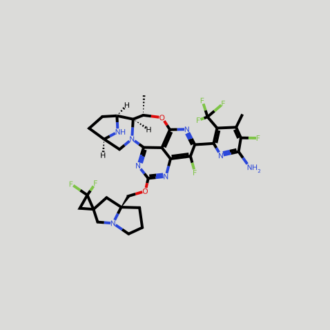 Cc1c(F)c(N)nc(-c2nc3c4c(nc(OC[C@@]56CCCN5CC5(CC5(F)F)C6)nc4c2F)N2C[C@H]4CC[C@H](N4)[C@H]2[C@H](C)O3)c1C(F)(F)F